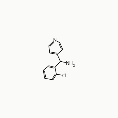 NC(c1ccncc1)c1ccccc1Cl